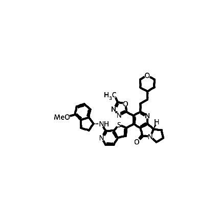 COc1cccc2c1CC[C@H]2Nc1nccc2cc(-c3c4c(nc(CCC5CCOCC5)c3-c3nnc(C)o3)[C@@H]3CCCN3C4=O)sc12